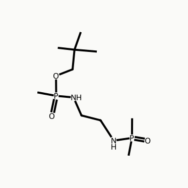 CC(C)(C)COP(C)(=O)NCCNP(C)(C)=O